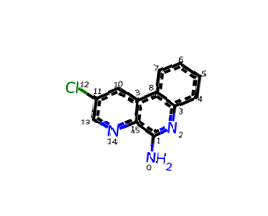 Nc1nc2ccccc2c2cc(Cl)cnc12